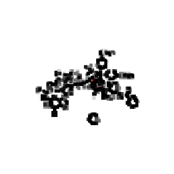 COc1ccc(C(OC[C@H]2O[C@@H](n3nnc4c(NC(=O)c5ccccc5)ncnc43)[C@@H](F)[C@@H]2OP(=S)(OCCC#N)OC[C@H]2O[C@@H](n3cnc4c(=O)[nH]c(NC(=O)C(C)C)nc43)[C@@H](O[PH](=O)O)[C@@H]2O[Si](C)(C)C(C)(C)C)(c2ccccc2)c2ccc(OC)cc2)cc1.c1ccncc1